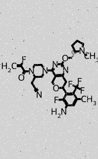 C=C(F)C(=O)N1CCN(c2nc(OC[C@@H]3CCCN3C)nc3c2COC(c2c(F)c(N)cc(C)c2C(F)(F)F)C3)CC1CC#N